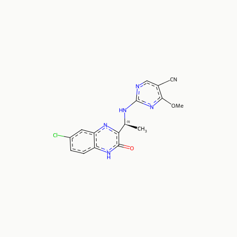 COc1nc(N[C@@H](C)c2nc3cc(Cl)ccc3[nH]c2=O)ncc1C#N